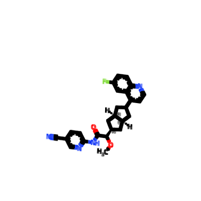 COC(C(=O)Nc1ccc(C#N)cn1)[C@H]1C[C@H]2CC(c3ccnc4ccc(F)cc34)C[C@H]2C1